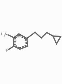 Nc1cc(CCCC2CC2)ccc1F